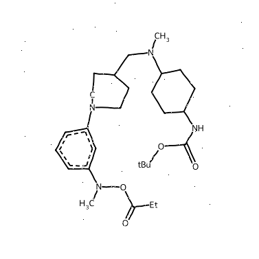 CCC(=O)ON(C)c1cccc(N2CCC(CN(C)C3CCC(NC(=O)OC(C)(C)C)CC3)CC2)c1